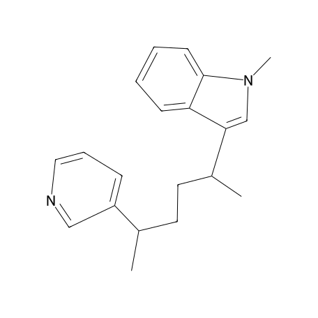 CC(CCC(C)c1cn(C)c2ccccc12)c1cccnc1